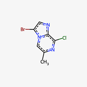 Cc1cn2c(Br)cnc2c(Cl)n1